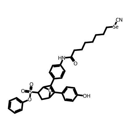 N#C[Se]CCCCCCCC(=O)Nc1ccc(C2=C(c3ccc(O)cc3)C3CC(S(=O)(=O)Oc4ccccc4)C2O3)cc1